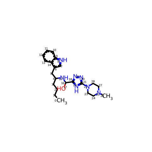 CCCCC(Cc1c[nH]c2ccccc12)NC(O)c1nnc(N2CCN(C)CC2)[nH]1